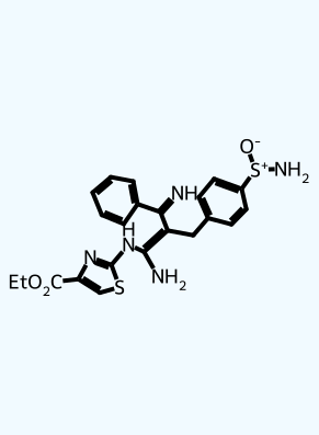 CCOC(=O)c1csc(N/C(N)=C(/Cc2ccc([S+](N)[O-])cc2)C(=N)c2ccccc2)n1